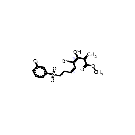 C=C(C(=O)OC)/C(O)=C(Br)\C=C/CCS(=O)(=O)c1cccc(Cl)c1